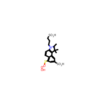 CC1=[N+](CCCS(=O)(=O)O)c2ccc3c(SOOO)cc(S(=O)(=O)O)cc3c2C1(C)C